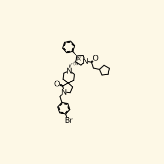 O=C(CC1CCCC1)N1C[C@H](CN2CCC3(CC2)CCN(Cc2ccc(Br)cc2)C3=O)[C@@H](c2ccccc2)C1